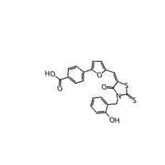 O=C(O)c1ccc(-c2ccc(C=C3SC(=S)N(Cc4ccccc4O)C3=O)o2)cc1